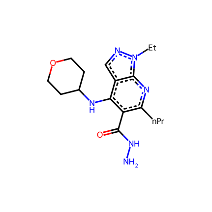 CCCc1nc2c(cnn2CC)c(NC2CCOCC2)c1C(=O)NN